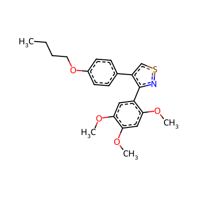 CCCCOc1ccc(-c2csnc2-c2cc(OC)c(OC)cc2OC)cc1